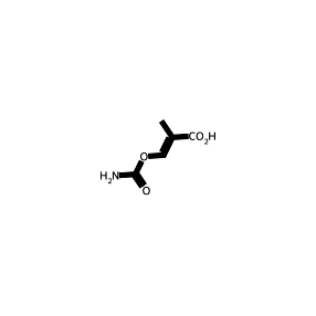 CC(=COC(N)=O)C(=O)O